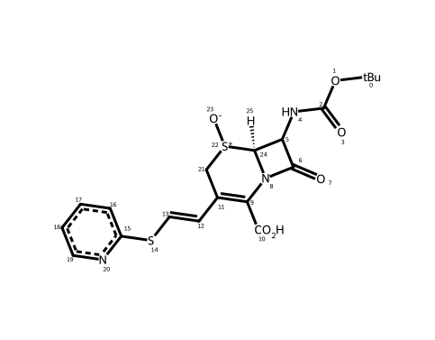 CC(C)(C)OC(=O)NC1C(=O)N2C(C(=O)O)=C(C=CSc3ccccn3)C[S+]([O-])[C@@H]12